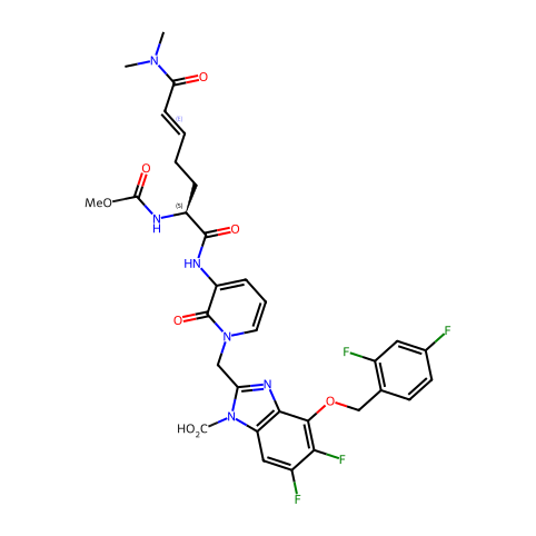 COC(=O)N[C@@H](CC/C=C/C(=O)N(C)C)C(=O)Nc1cccn(Cc2nc3c(OCc4ccc(F)cc4F)c(F)c(F)cc3n2C(=O)O)c1=O